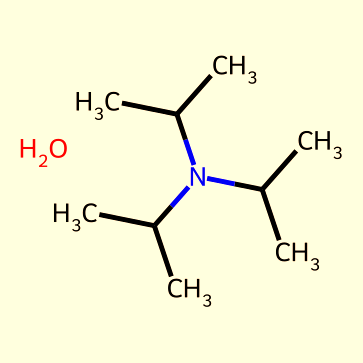 CC(C)N(C(C)C)C(C)C.O